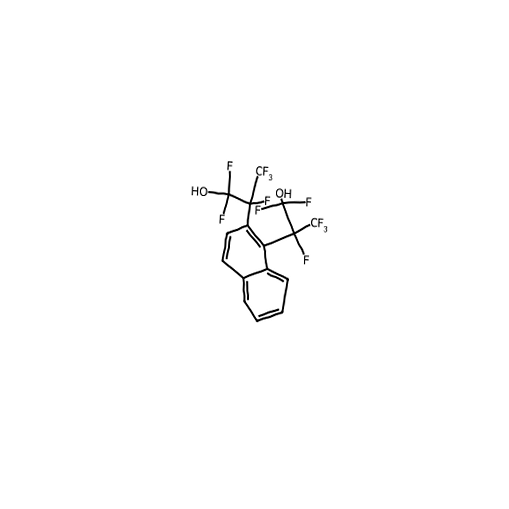 OC(F)(F)C(F)(c1ccc2ccccc2c1C(F)(C(O)(F)F)C(F)(F)F)C(F)(F)F